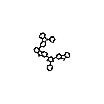 c1ccc(C2N=C(c3ccc4c(c3)oc3ccccc34)N=C(c3ccc4c(c3)oc3cccc(-c5ccc6c(c5)c5ccccc5n6-c5ccccc5)c34)N2)cc1